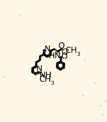 CNc1cccc(CCCc2ccc(C[C@H](NC(=O)c3ccccc3)C(=O)OC)nc2)n1